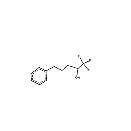 OC(CCCc1ccccc1)C(F)(F)F